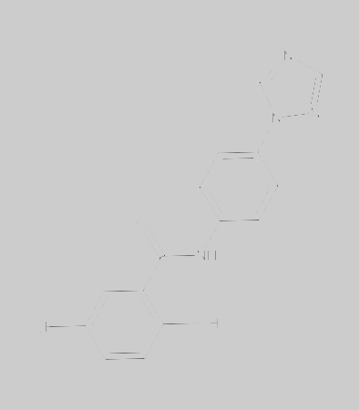 O=C(Nc1ccc(-n2cncn2)cc1)c1cc(Cl)ccc1O